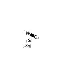 [O]=[W].[Si].[Sn]